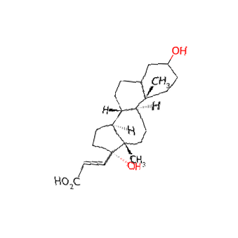 C[C@]12CCC(O)CC1CC[C@@H]1[C@@H]2CC[C@@]2(C)[C@H]1CC[C@]2(O)C=CC(=O)O